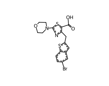 O=C(O)c1sc(N2CCOCC2)nc1Cc1cc2cc(Br)ccc2s1